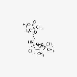 CCC(C)(CC(C)(C)CC(C)(C)C)NCCOC(C)(C)C(C)=O